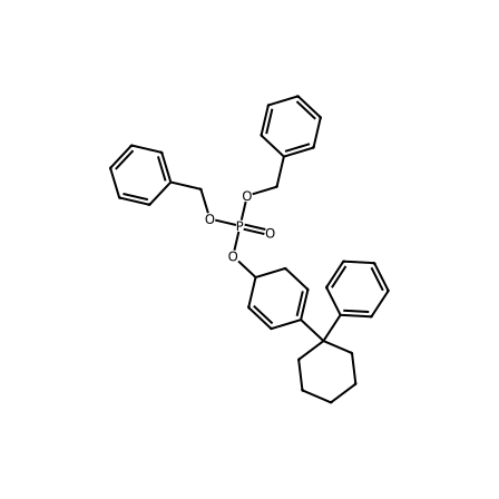 O=P(OCc1ccccc1)(OCc1ccccc1)OC1C=CC(C2(c3ccccc3)CCCCC2)=CC1